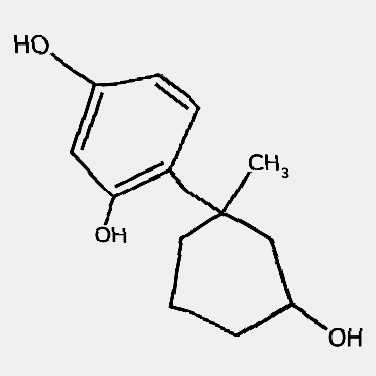 CC1(c2ccc(O)cc2O)CCCC(O)C1